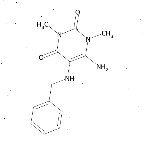 Cn1c(N)c(NCc2ccccc2)c(=O)n(C)c1=O